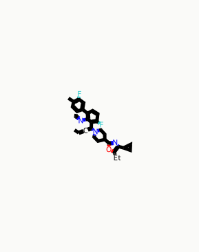 CC=C=C(c1c(F)ccc(-c2ccc(C)c(F)c2)c1/N=C\C)N1CCC(c2nc(C3CC3)c(CC)o2)CC1